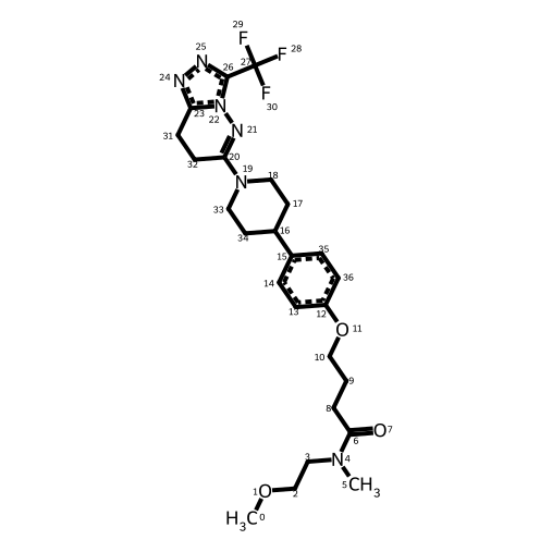 COCCN(C)C(=O)CCCOc1ccc(C2CCN(C3=Nn4c(nnc4C(F)(F)F)CC3)CC2)cc1